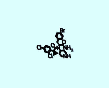 NC(=O)[C@H](Cc1ccc(Br)cc1)N(C(=O)C1(c2ccc(Cl)cc2Cl)CC1)C1CCNCC1